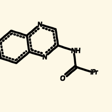 CC(C)C(=O)Nc1cnc2ccccc2n1